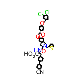 N#Cc1ccc(-c2ccc(C[C@H](NC(=O)C3Cc4cc5c(cc4CN3Cc3cccs3)O[C@@H](c3ccc(OCc4ccc(Cl)c(Cl)c4)cc3)CO5)C(=O)O)cc2)cc1